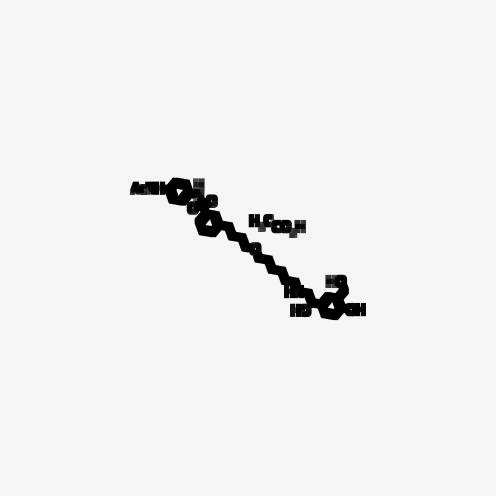 CC(=O)Nc1ccc(NS(=O)(=O)c2cccc(CCCCOCCCCCCNC[C@H](O)c3ccc(O)c(CO)c3)c2)cc1.CC(=O)O